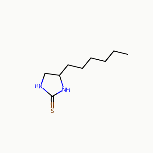 CCCCCCC1CNC(=S)N1